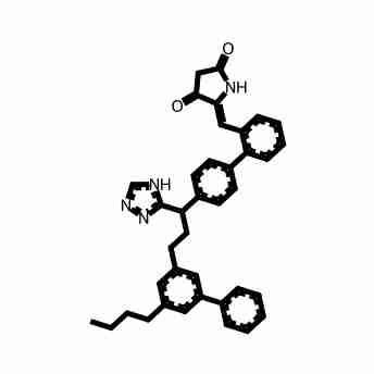 CCCCc1cc(CCC(c2ccc(-c3ccccc3/C=C3\NC(=O)CC3=O)cc2)c2nnc[nH]2)cc(-c2ccccc2)c1